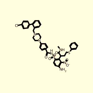 CNC(=O)C(CCSc1ccccc1)c1c(S(=O)(=O)NC(=O)c2ccc(N3CCN(Cc4ccccc4-c4ccc(Cl)cc4)CC3)cc2)ccc(N)c1[N+](=O)[O-]